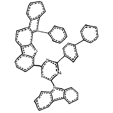 c1ccc(-c2ccc(-c3nc(-c4cccc5c4sc4c5ccc5c6ccccc6n(-c6ccccc6)c54)nc(-n4c5ccccc5c5ccccc54)n3)cc2)cc1